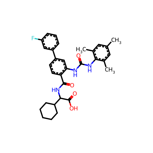 Cc1cc(C)c(NC(=O)Nc2cc(-c3cccc(F)c3)ccc2C(=O)NC(C(=O)O)C2CCCCC2)c(C)c1